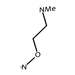 CNCCO[N]